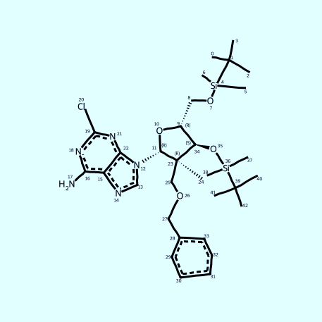 CC(C)(C)[Si](C)(C)OC[C@H]1O[C@@H](n2cnc3c(N)nc(Cl)nc32)[C@](C)(COCc2ccccc2)[C@@H]1O[Si](C)(C)C(C)(C)C